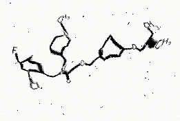 CC(C)COc1ccc(COC(=O)N(Cc2ccc(F)cc2Cl)C2CCN(C)CC2)cc1